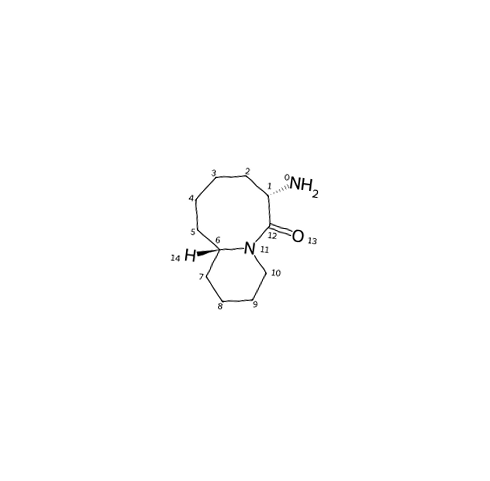 N[C@H]1CCCC[C@H]2CCCCN2C1=O